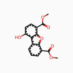 COC(=O)c1cccc2c1oc1c(C(=O)OC)ccc(O)c12